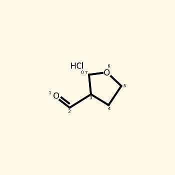 Cl.O=CC1CCOC1